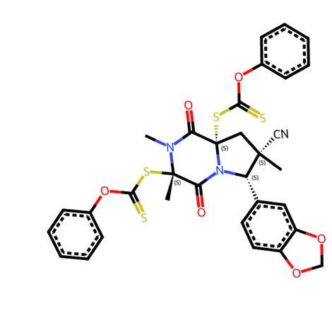 CN1C(=O)[C@@]2(SC(=S)Oc3ccccc3)C[C@](C)(C#N)[C@H](c3ccc4c(c3)OCO4)N2C(=O)[C@]1(C)SC(=S)Oc1ccccc1